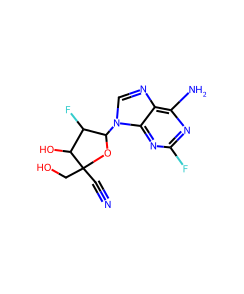 N#CC1(CO)OC(n2cnc3c(N)nc(F)nc32)C(F)C1O